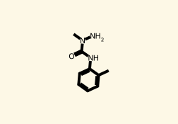 Cc1ccccc1NC(=O)N(C)N